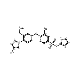 COCc1cc(Oc2ccc(S(=O)(=O)Nc3nccs3)cc2C#N)ccc1-n1cc(Cl)cn1